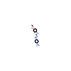 CCOc1ccc2nc(N=Nc3ccc(N(C)C)cc3)sc2c1